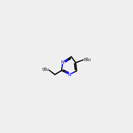 CC(C)(C)Cc1ncc(C(C)(C)C)cn1